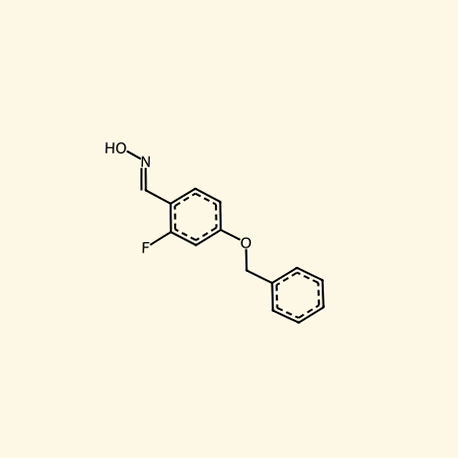 O/N=C/c1ccc(OCc2ccccc2)cc1F